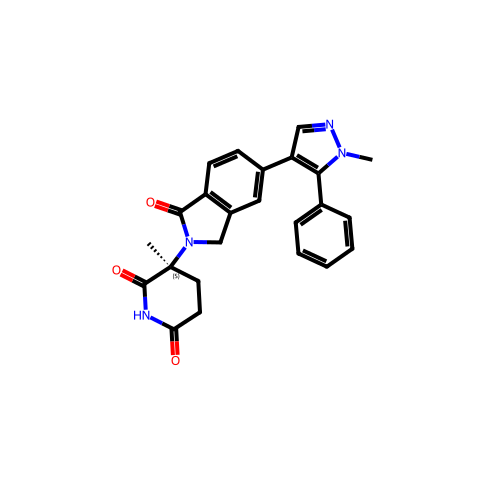 Cn1ncc(-c2ccc3c(c2)CN([C@@]2(C)CCC(=O)NC2=O)C3=O)c1-c1ccccc1